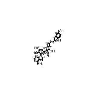 CC(C)(C)c1ccc2[nH]c(CCC3CC(N(C[C@H]4O[C@@H](n5cnc6c(N)ncnc65)[C@H](O)[C@@H]4O)C(O)(CO)CO)C3)nc2c1